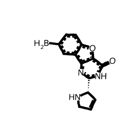 Bc1ccc2oc3c(=O)[nH]c([C@@H]4C=CCN4)nc3c2c1